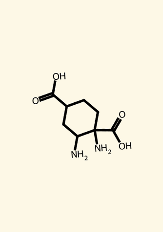 NC1CC(C(=O)O)CCC1(N)C(=O)O